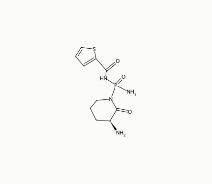 N[C@H]1CCCN(P(N)(=O)NC(=O)c2cccs2)C1=O